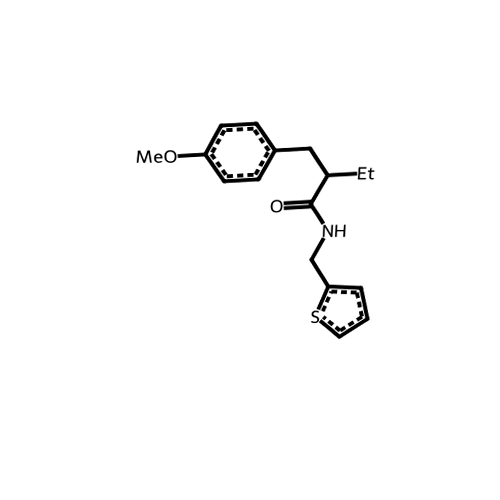 CCC(Cc1ccc(OC)cc1)C(=O)NCc1cccs1